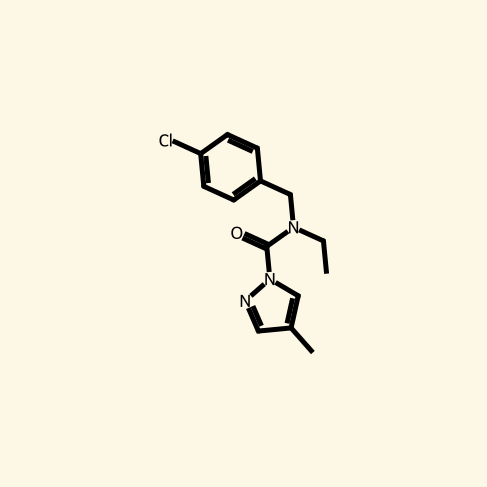 CCN(Cc1ccc(Cl)cc1)C(=O)n1cc(C)cn1